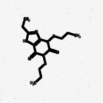 CCCSn1c(=O)c2[nH]c(CC)nc2n(SCCC)c1=O